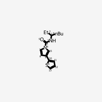 CCCCC(CC)NC(=O)n1ccc(-c2cccs2)c1